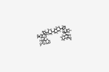 COC(=O)N[C@H](C(=O)N1CC(F)(F)C[C@H]1c1ncc(-c2ccc(-c3ccc4cc(-c5cnc([C@@H]6CCCN6C(=O)[C@H](NC(=O)OC)c6ccccc6)[nH]5)ccc4c3)cc2)[nH]1)C1CCOCC1